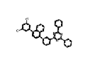 Clc1cc(Cl)cc(-c2ccc(-c3cccc(-c4nc(-c5ccccc5)nc(-c5ccccc5)n4)c3)c3ccccc23)c1